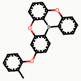 Cc1ccccc1Oc1ccc2c(c1)Oc1cccc3c1B2c1ccccc1O3